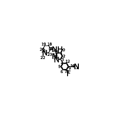 Cc1cc(-c2ccc(F)c(C#N)c2)nnc1N[C@@H]1CCCN(C)C1